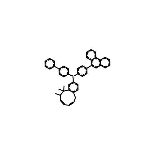 CC1/C=C\C=C/Cc2ccc(N(c3ccc(-c4ccccc4)cc3)c3ccc(-c4cc5ccccc5c5ccccc45)cc3)cc2C1(C)C